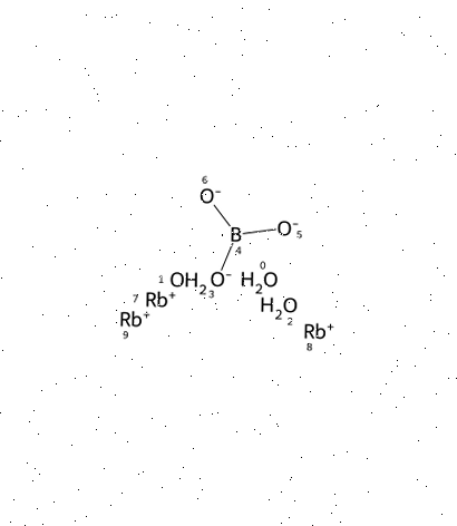 O.O.O.[O-]B([O-])[O-].[Rb+].[Rb+].[Rb+]